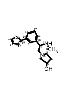 CNC(CN1CCC(O)C1)c1cccc(-c2nccs2)c1